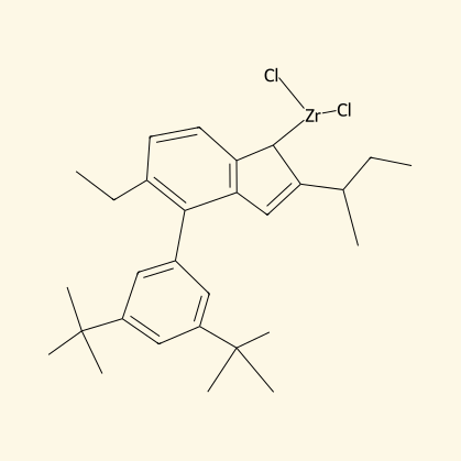 CCc1ccc2c(c1-c1cc(C(C)(C)C)cc(C(C)(C)C)c1)C=C(C(C)CC)[CH]2[Zr]([Cl])[Cl]